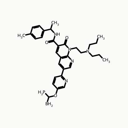 BC(P)Oc1ccc(-c2cnc3c(c2)cc(C(=O)NC(C)c2ccc(C)cc2)c(=O)n3CCN(CCC)CCC)nc1